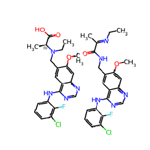 CCN(Cc1cc2c(Nc3cccc(Cl)c3F)ncnc2cc1OC)[C@@H](C)C(=O)O.CCN=C(C)C(=O)NCc1cc2c(Nc3cccc(Cl)c3F)ncnc2cc1OC